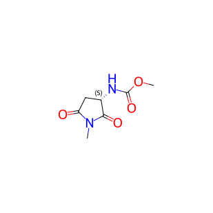 COC(=O)N[C@H]1CC(=O)N(C)C1=O